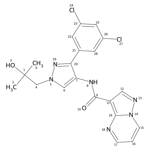 CC(C)(O)Cn1cc(NC(=O)c2cnn3cccnc23)c(-c2cc(Cl)cc(Cl)c2)n1